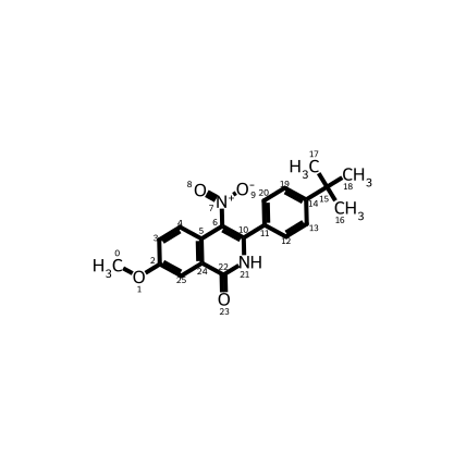 COc1ccc2c([N+](=O)[O-])c(-c3ccc(C(C)(C)C)cc3)[nH]c(=O)c2c1